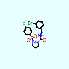 O=C(NCc1cccc(Br)c1)[C@@H]1CCCN1S(=O)(=O)c1ccc(F)cc1